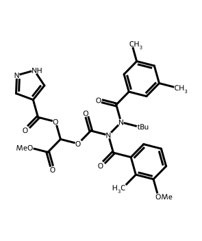 COC(=O)C(OC(=O)c1cn[nH]c1)OC(=O)N(C(=O)c1cccc(OC)c1C)N(C(=O)c1cc(C)cc(C)c1)C(C)(C)C